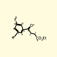 CCOC(=O)CCC(=O)c1cc(F)cc(F)c1